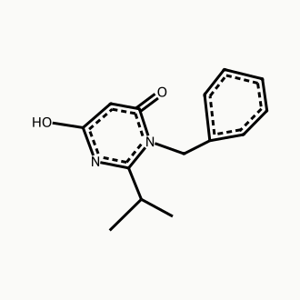 CC(C)c1nc(O)cc(=O)n1Cc1ccccc1